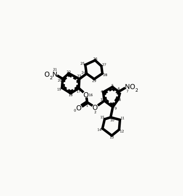 O=C(Oc1ccc([N+](=O)[O-])cc1C1CCCCC1)Oc1ccc([N+](=O)[O-])cc1C1CCCCC1